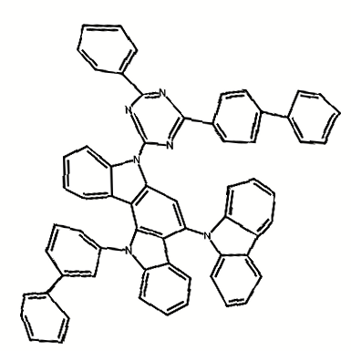 c1ccc(-c2ccc(-c3nc(-c4ccccc4)nc(-n4c5ccccc5c5c4cc(-n4c6ccccc6c6ccccc64)c4c6ccccc6n(-c6cccc(-c7ccccc7)c6)c45)n3)cc2)cc1